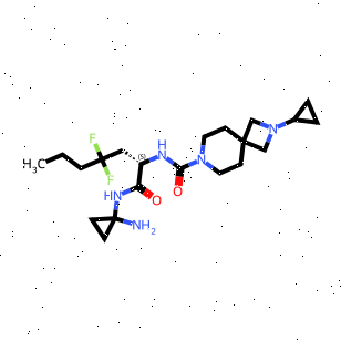 CCCC(F)(F)C[C@H](NC(=O)N1CCC2(CC1)CN(C1CC1)C2)C(=O)NC1(N)CC1